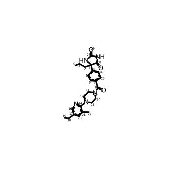 CCCC1(c2ccc(C(=O)N3CCN(c4ncc(CC)cc4C)CC3)cc2)NC(=O)NC1=O